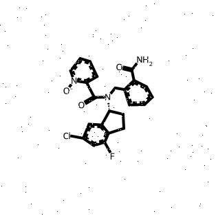 NC(=O)c1ccccc1CN(C(=O)c1cccc[n+]1[O-])[C@@H]1CCc2c(F)cc(Cl)cc21